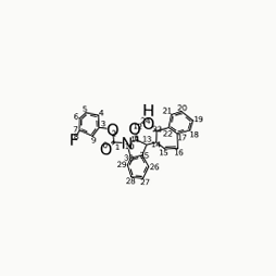 O=C(Oc1cccc(F)c1)N1C(=O)C(C2C=Cc3ccccc3C2O)c2ccccc21